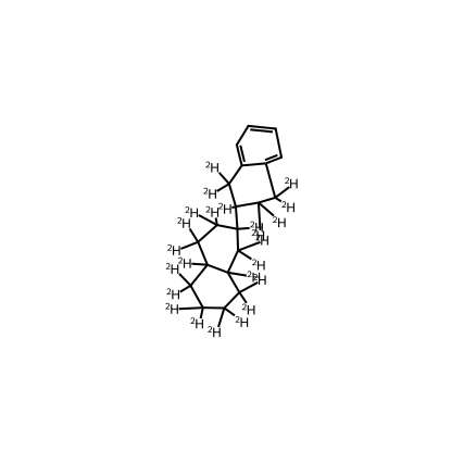 [2H]C1([2H])c2ccccc2C([2H])([2H])C([2H])(C2([2H])C([2H])([2H])C([2H])([2H])C3([2H])C([2H])([2H])C([2H])([2H])C([2H])([2H])C([2H])([2H])C3([2H])C2([2H])[2H])C1([2H])[2H]